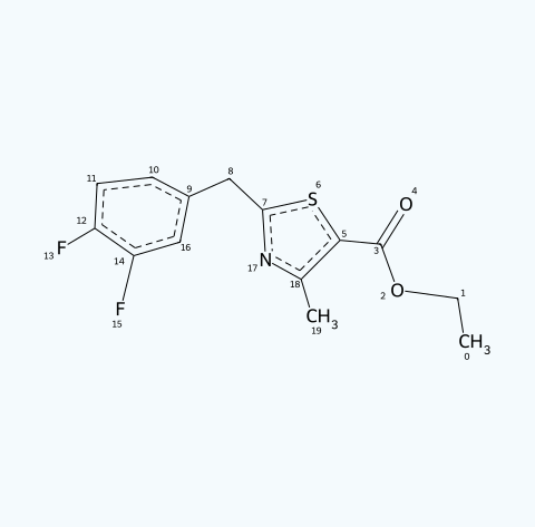 CCOC(=O)c1sc(Cc2ccc(F)c(F)c2)nc1C